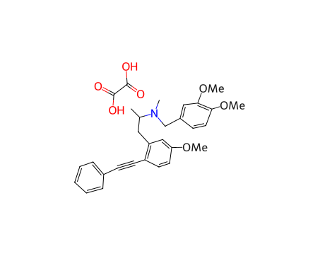 COc1ccc(C#Cc2ccccc2)c(CC(C)N(C)Cc2ccc(OC)c(OC)c2)c1.O=C(O)C(=O)O